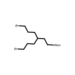 CCCCCCCCCCCC(CCCC(C)C)CCCC(C)C